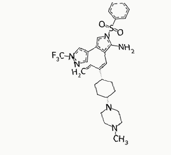 C=C/C(=C\c1c(-c2cnn(C(F)(F)F)c2)cn(S(=O)(=O)c2ccccc2)c1N)[C@H]1CC[C@@H](N2CCN(C)CC2)CC1